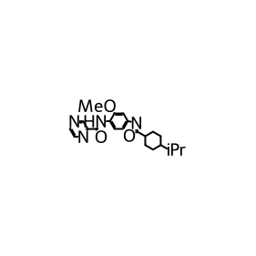 COc1cc2nc(C3CCC(C(C)C)CC3)oc2cc1NC(=O)c1cnccn1